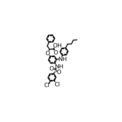 CCCCc1ccc(Nc2cc(OC(Cc3ccccc3)C(=O)O)ccc2NS(=O)(=O)c2ccc(Cl)c(Cl)c2)cc1